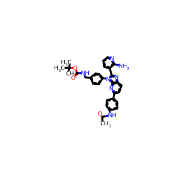 CC(=O)Nc1ccc(-c2ccc3nc(-c4cccnc4N)n(-c4ccc(CNC(=O)OC(C)(C)C)cc4)c3n2)cc1